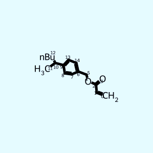 C=CC(=O)OCc1ccc(C(C)CCCC)cc1